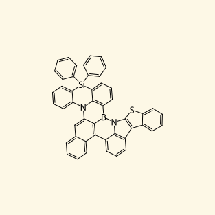 c1ccc([Si]2(c3ccccc3)c3ccccc3N3c4cc5ccccc5c5c4B(c4cccc2c43)n2c3sc4ccccc4c3c3cccc-5c32)cc1